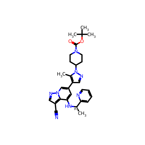 Cc1c(-c2cc(N[C@H](C)c3ccccn3)c3c(C#N)cnn3c2)cnn1C1CCN(C(=O)OC(C)(C)C)CC1